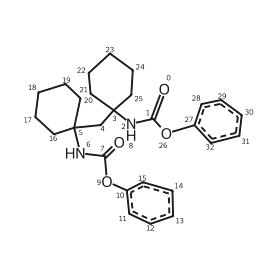 O=C(NC1(CC2(NC(=O)Oc3ccccc3)CCCCC2)CCCCC1)Oc1ccccc1